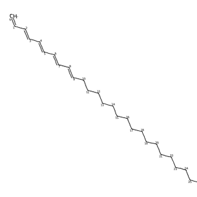 [CH]=C/C=C/C=C/C=C/C=C/CCCCCCCCCCCCCCCCC